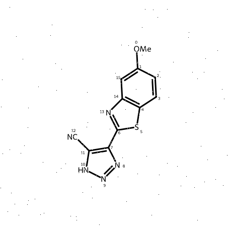 COc1ccc2sc(-c3nn[nH]c3C#N)nc2c1